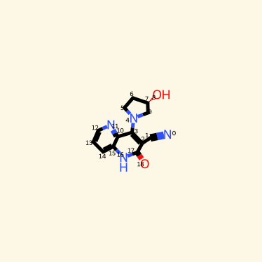 N#Cc1c(N2CC[C@H](O)C2)c2ncccc2[nH]c1=O